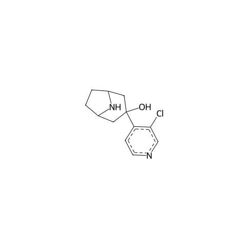 OC1(c2ccncc2Cl)CC2CCC(C1)N2